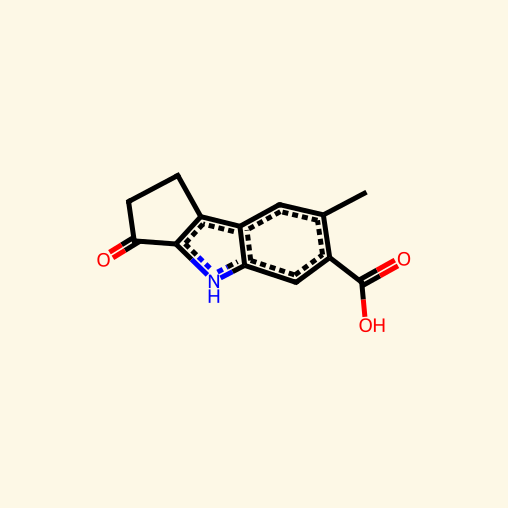 Cc1cc2c3c([nH]c2cc1C(=O)O)C(=O)CC3